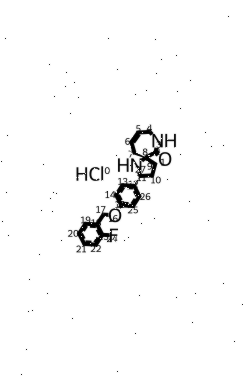 Cl.O=C1NCC=CC[C@]12CC[C@H](c1ccc(OCc3ccccc3F)cc1)N2